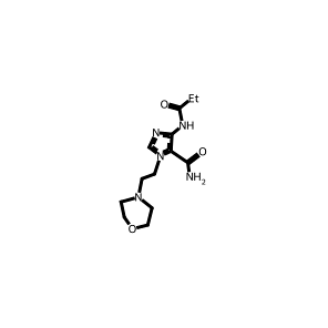 CCC(=O)Nc1ncn(CCN2CCOCC2)c1C(N)=O